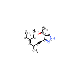 C=C(C#Cc1n[nH]cc1C(C)=O)C=C(CC)CC